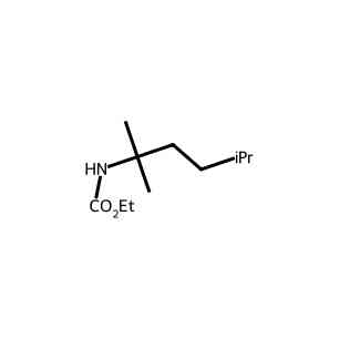 CCOC(=O)NC(C)(C)CCC(C)C